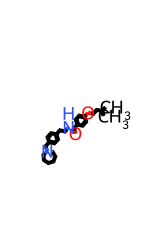 CC(C)CCOc1ccc(C(=O)NCCc2ccc(CN3CCCCCC3)cc2)cc1